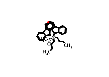 CCC[CH2][Zr]([CH2]CCC)([CH]1c2ccccc2-c2ccccc21)([CH]1c2ccccc2-c2ccccc21)[SiH](C)C